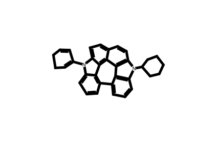 C1=CC(n2c3cccc4c3c3c5c(ccc32)ccc2c5c3c-4cccc3n2C2CCCCC2)=CCC1